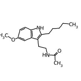 CCCCCc1[nH]c2ccc(OC)cc2c1CCNC(C)=O